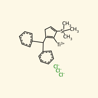 C[Si](C)(C)C1=CCC(C(c2ccccc2)c2ccccc2)=[C]1[Ti+3].[Cl-].[Cl-].[Cl-]